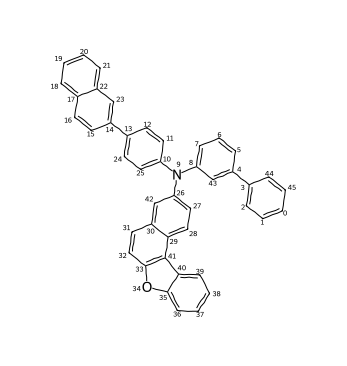 c1ccc(-c2cccc(N(c3ccc(-c4ccc5ccccc5c4)cc3)c3ccc4c(ccc5oc6ccccc6c54)c3)c2)cc1